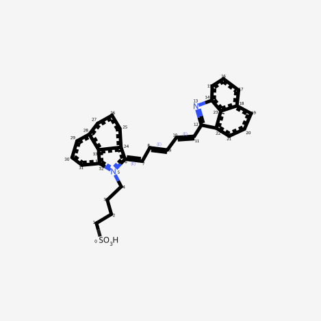 O=S(=O)(O)CCCCn1/c(=C/C=C/C=C/C2=Nc3cccc4cccc2c34)c2cccc3cccc1c32